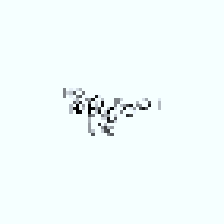 CC(C)(O)c1ccc(-c2cc(C(N)=O)c(Nc3cccc(C(CO)n4ccnn4)n3)s2)c(F)c1